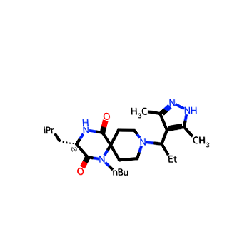 CCCCN1C(=O)[C@H](CC(C)C)NC(=O)C12CCN(C(CC)c1c(C)n[nH]c1C)CC2